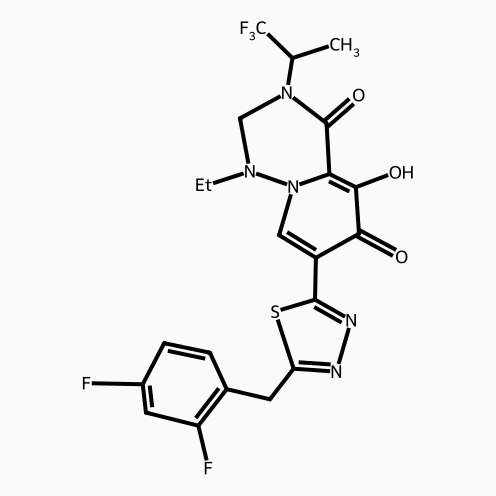 CCN1CN(C(C)C(F)(F)F)C(=O)c2c(O)c(=O)c(-c3nnc(Cc4ccc(F)cc4F)s3)cn21